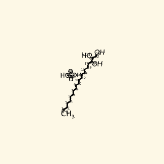 CCCCCCCCCCCCCCCCCCC(O)C(O)CO.O=S(=O)(O)O